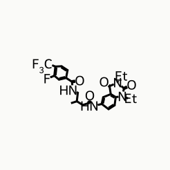 CCn1c(=O)c2cc(NC(=O)CC(C)CNC(=O)c3ccc(C(F)(F)F)c(F)c3)ccc2n(CC)c1=O